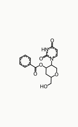 O=C(OC1CC(CO)OCC1n1ccc(=O)[nH]c1=O)c1ccccc1